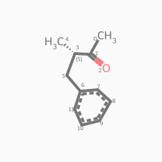 CC(=O)[C@@H](C)Cc1ccccc1